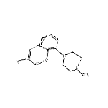 CN1CCN(c2cccc3cc(I)cnc23)CC1